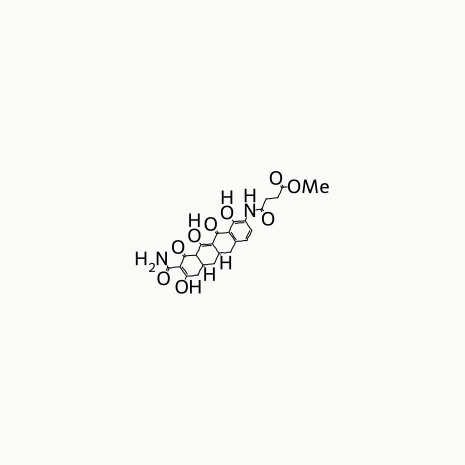 COC(=O)CCC(=O)Nc1ccc2c(c1O)C(=O)C1=C(O)C3C(=O)C(C(N)=O)=C(O)C[C@@H]3C[C@@H]1C2